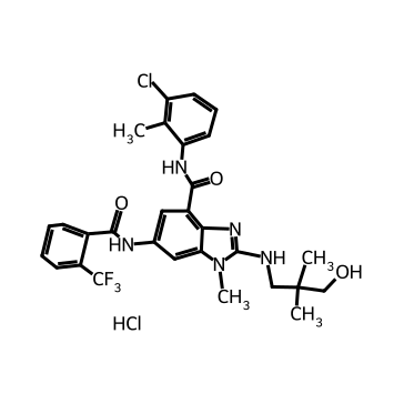 Cc1c(Cl)cccc1NC(=O)c1cc(NC(=O)c2ccccc2C(F)(F)F)cc2c1nc(NCC(C)(C)CO)n2C.Cl